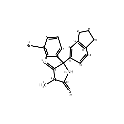 CN1C(=O)C(c2cccc(Br)c2)(c2ccc3c(c2)CCC3)NC1=S